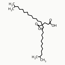 CC(C)CCCCCCCCCCCC(CCCCCCCCCCCC(C)C)(CCC(=O)O)C(=O)O